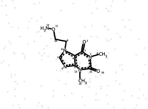 Cn1c(=O)c2c(ncn2CCON)n(C)c1=O